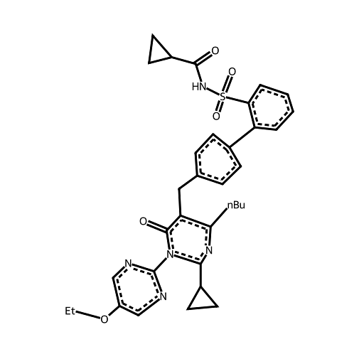 CCCCc1nc(C2CC2)n(-c2ncc(OCC)cn2)c(=O)c1Cc1ccc(-c2ccccc2S(=O)(=O)NC(=O)C2CC2)cc1